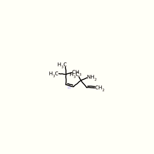 C=CC(C)(N)/C=C\C(C)(C)C